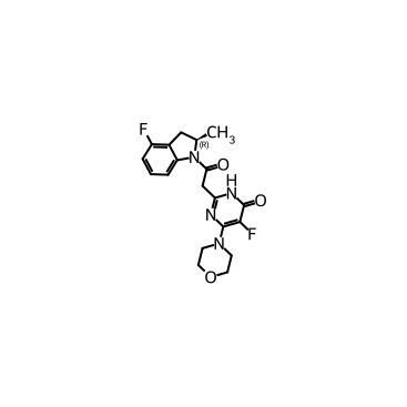 C[C@@H]1Cc2c(F)cccc2N1C(=O)Cc1nc(N2CCOCC2)c(F)c(=O)[nH]1